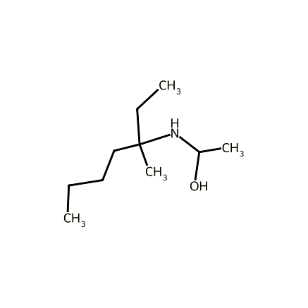 CCCCC(C)(CC)NC(C)O